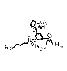 C=CCN(CC=C)C(=O)c1cc(OCC(=O)NCCCCCN)cc(C(=O)N[C@H](C)c2ccccc2)c1